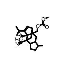 COC(=O)OCC12CC3C(C)CCC3C3(C#N)CC1C=C(C(C)C)C32C(=O)O